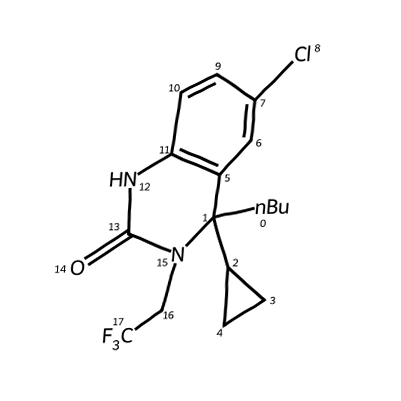 CCCCC1(C2CC2)c2cc(Cl)ccc2NC(=O)N1CC(F)(F)F